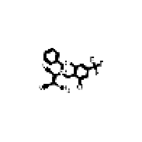 N#CC(N)=C(C#N)[N+](=Cc1ccccc1)Cc1c(Cl)cc(C(F)(F)F)cc1Cl